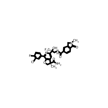 CN1Cc2cc(C(=O)NC[C@](O)(c3cc4c(c(-c5ccc(F)c(Cl)c5)n3)OC[C@]4(C)C(N)=O)C(F)(F)F)ccc2C1=O